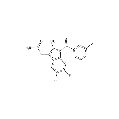 Cc1c(CC(N)=O)c2cc(O)c(F)cc2n1C(=O)c1cccc(F)c1